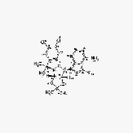 CC1(C)O[C@@H]2[C@H](O1)[C@@H](C(C)(O)c1ccc(Cl)c(Cl)c1)O[C@H]2n1cc(F)c2c(N)ncnc21